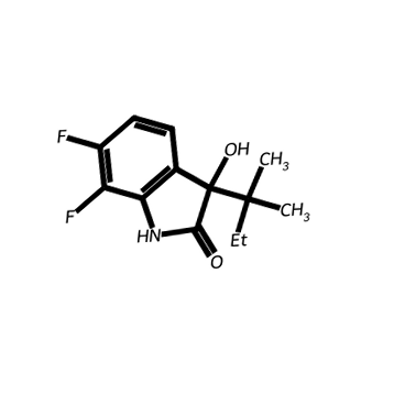 CCC(C)(C)C1(O)C(=O)Nc2c1ccc(F)c2F